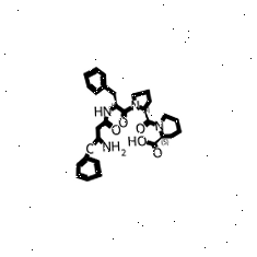 NC(CC(=O)N[C@@H](Cc1ccccc1)C(=O)N1CCC[C@H]1C(=O)N1CCCC[C@H]1C(=O)O)Cc1ccccc1